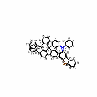 c1ccc(N(c2cccc(C3(c4ccccc4)c4ccccc4C4(c5ccccc5)c5ccccc5-c5cccc3c54)c2)c2ccc3sc4ccccc4c3c2)cc1